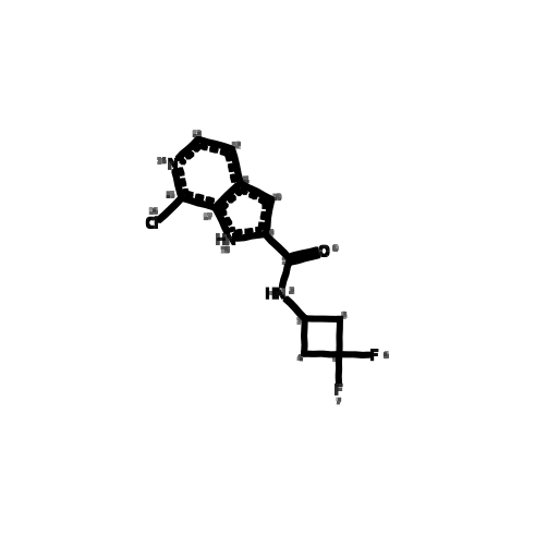 O=C(NC1CC(F)(F)C1)c1cc2ccnc(Cl)c2[nH]1